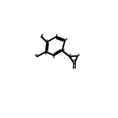 Cc1ccc(C2CN2)cc1C